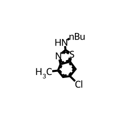 CCCCNc1nc2c(C)cc(Cl)cc2s1